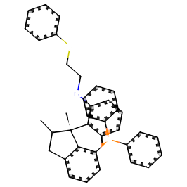 Cc1cccc(NCCSc2ccccc2)c1[C@]1(C)c2c(cccc2P(c2ccccc2)c2ccccc2)CC1C